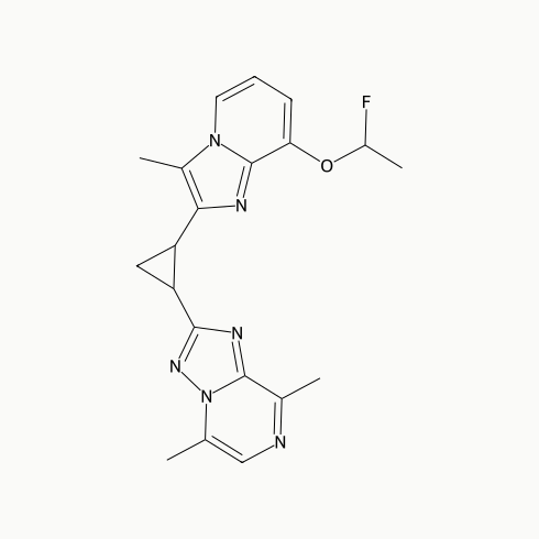 Cc1ncc(C)n2nc(C3CC3c3nc4c(OC(C)F)cccn4c3C)nc12